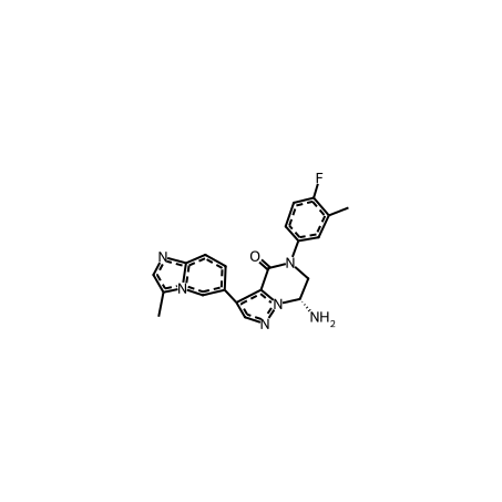 Cc1cc(N2C[C@H](N)n3ncc(-c4ccc5ncc(C)n5c4)c3C2=O)ccc1F